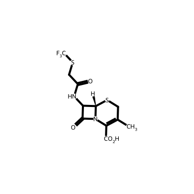 CC1=C(C(=O)O)N2C(=O)C(NC(=O)CSC(F)(F)F)[C@@H]2SC1